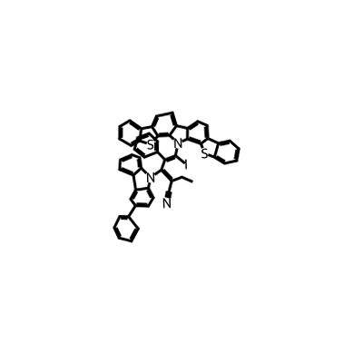 CC/C(C#N)=C(\C(=C(/I)n1c2c(ccc3c4ccccc4sc32)c2ccc3c4ccccc4sc3c21)c1ccccc1)n1c2ccccc2c2cc(-c3ccccc3)ccc21